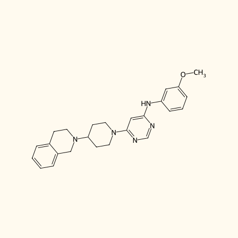 COc1cccc(Nc2cc(N3CCC(N4CCc5ccccc5C4)CC3)ncn2)c1